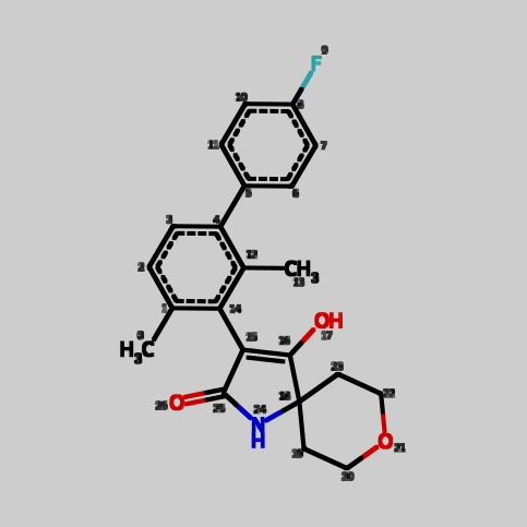 Cc1ccc(-c2ccc(F)cc2)c(C)c1C1=C(O)C2(CCOCC2)NC1=O